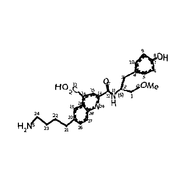 COC[C@H](Cc1ccc(O)cc1)NC(=O)c1cc(C(=O)O)c2cc(CCCCN)ccc2n1